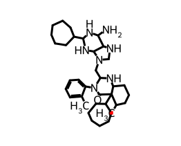 Cc1ccccc1N1C(=O)C2(C3CCCCCC3)C(C)CCCC2NC1CN1CNC2C(N)NC(C3CCCCCC3)NC21